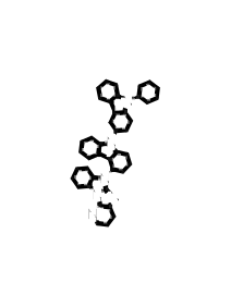 c1ccc(-n2c3ccccc3c3cc(-n4c5ccccc5c5c(-n6c7ccccc7n7c8ncccc8nc67)cccc54)ccc32)cc1